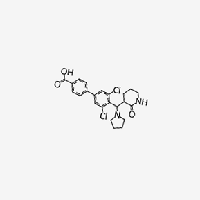 O=C(O)c1ccc(-c2cc(Cl)c(C(C3CCCNC3=O)N3CCCC3)c(Cl)c2)cc1